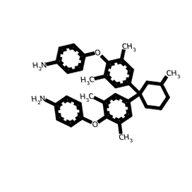 Cc1cc(C2(c3cc(C)c(Oc4ccc(N)cc4)c(C)c3)CCCC(C)C2)cc(C)c1Oc1ccc(N)cc1